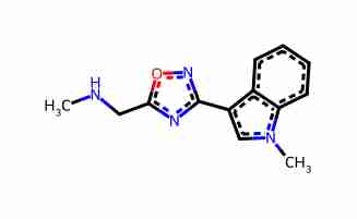 CNCc1nc(-c2cn(C)c3ccccc23)no1